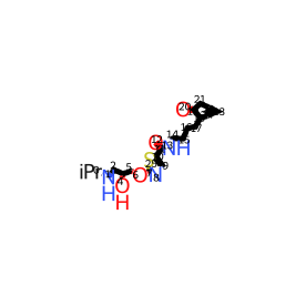 CC(C)NCC(O)COc1ncc(C(=O)NCCCCC2C(=O)CC3CC32)s1